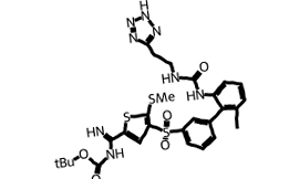 CSc1sc(C(=N)NC(=O)OC(C)(C)C)cc1S(=O)(=O)c1cccc(-c2c(C)cccc2NC(=O)NCCc2nn[nH]n2)c1